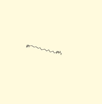 CC(C)CCCCCCCCCCCCP